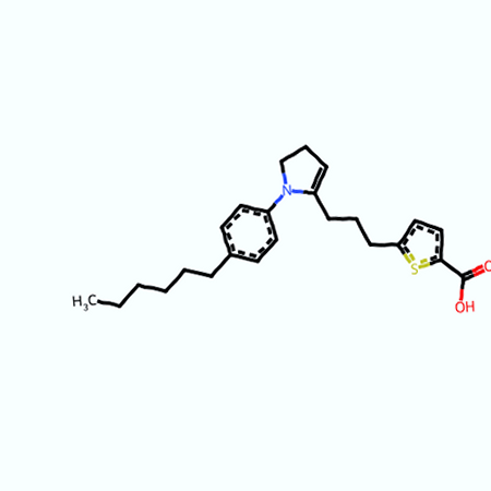 CCCCCCc1ccc(N2CCC=C2CCCc2ccc(C(=O)O)s2)cc1